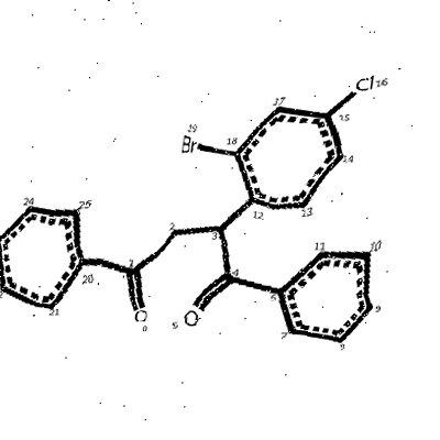 O=C(CC(C(=O)c1ccccc1)c1ccc(Cl)cc1Br)c1ccccc1